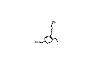 CCC1=C(CCCCO)C=CC(CO)CC1